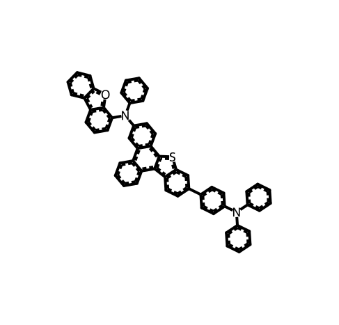 c1ccc(N(c2ccccc2)c2ccc(-c3ccc4c(c3)sc3c5ccc(N(c6ccccc6)c6cccc7c6oc6ccccc67)cc5c5ccccc5c43)cc2)cc1